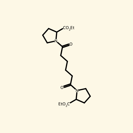 CCOC(=O)C1CCCN1C(=O)CCCCC(=O)N1CCCC1C(=O)OCC